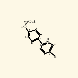 CCCCCCCCOc1ccc(-c2ccc(C)cn2)cc1